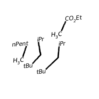 CC(C)CC(C)(C)C.CC(C)CC(C)(C)C.CCCCCC.CCOC(C)=O